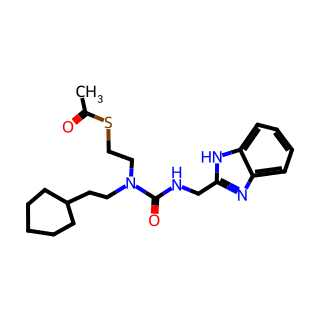 CC(=O)SCCN(CCC1CCCCC1)C(=O)NCc1nc2ccccc2[nH]1